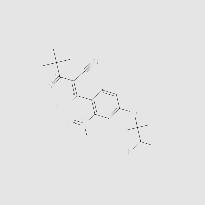 CC(C)(C)C(=O)/C(C#N)=C(\O)c1ccc(OC(F)(F)C(F)F)cc1[N+](=O)[O-]